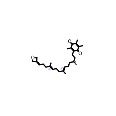 CC1=C(C)C(=O)C(CC[C@@H](C)CC/C=C(\C)CC/C=C(\C)CCC=C2COC2)=C(C)C1=O